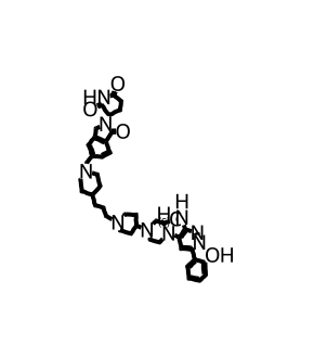 O=C1CCC(N2Cc3cc(CN4CCC(CCCN5CCC(N6CCN7c8cc(-c9ccccc9O)nnc8NC[C@H]7C6)CC5)CC4)ccc3C2=O)C(=O)N1